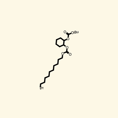 CC(C)CCCCCCCCCCOC(=O)OC1CCCCC1OC(=O)OCC(C)C